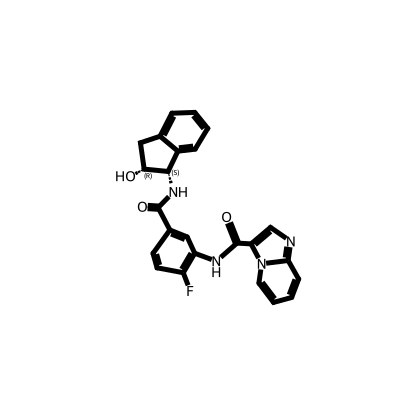 O=C(N[C@H]1c2ccccc2C[C@H]1O)c1ccc(F)c(NC(=O)c2cnc3ccccn23)c1